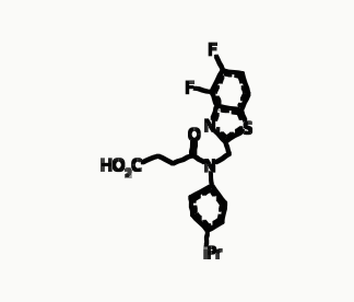 CC(C)c1ccc(N(Cc2nc3c(F)c(F)ccc3s2)C(=O)CCC(=O)O)cc1